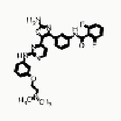 CN(C)CCOc1cccc(Nc2nccc(-c3sc(N)nc3-c3cccc(NC(=O)c4c(F)cccc4F)c3)n2)c1